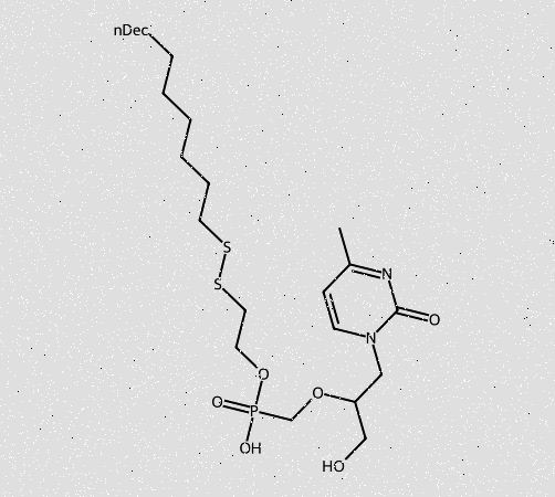 CCCCCCCCCCCCCCCCSSCCOP(=O)(O)COC(CO)Cn1ccc(C)nc1=O